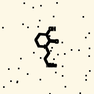 CNCCN1CCCC(O)C1=O